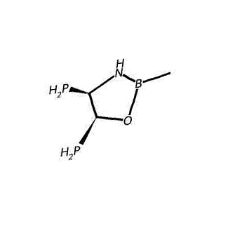 CB1N[C@H](P)[C@H](P)O1